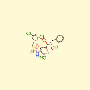 Cl.O=C(c1cc(NS(=O)(=O)Cc2cc(Cl)cc(Cl)c2)ccn1)N(O)Cc1ccccc1